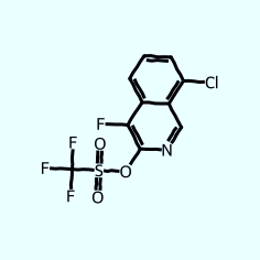 O=S(=O)(Oc1ncc2c(Cl)cccc2c1F)C(F)(F)F